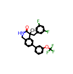 CC1(Cc2cc(F)cc(F)c2)C(=O)NCc2ccc(-c3cccc(OC(F)(F)F)c3)cc21